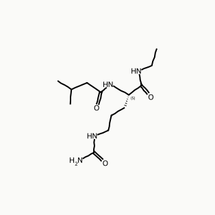 CCNC(=O)[C@H](CCCNC(N)=O)NC(=O)CC(C)C